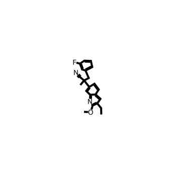 CCc1cc2ccc(C(C)(C#N)Cc3cccc(F)c3)cc2nc1OC